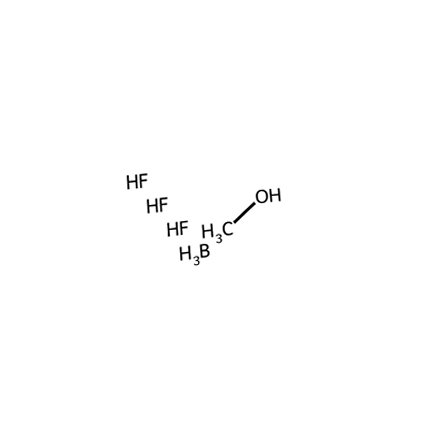 B.CO.F.F.F